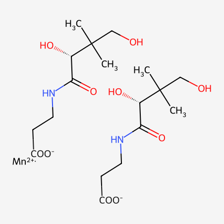 CC(C)(CO)[C@@H](O)C(=O)NCCC(=O)[O-].CC(C)(CO)[C@@H](O)C(=O)NCCC(=O)[O-].[Mn+2]